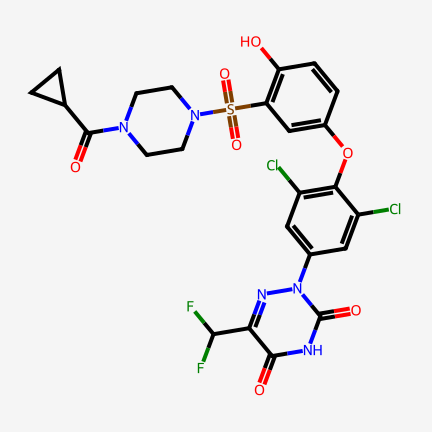 O=C(C1CC1)N1CCN(S(=O)(=O)c2cc(Oc3c(Cl)cc(-n4nc(C(F)F)c(=O)[nH]c4=O)cc3Cl)ccc2O)CC1